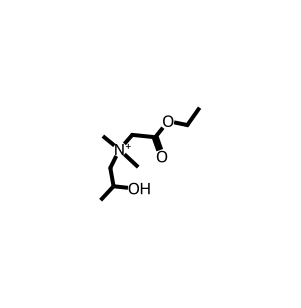 CCOC(=O)C[N+](C)(C)CC(C)O